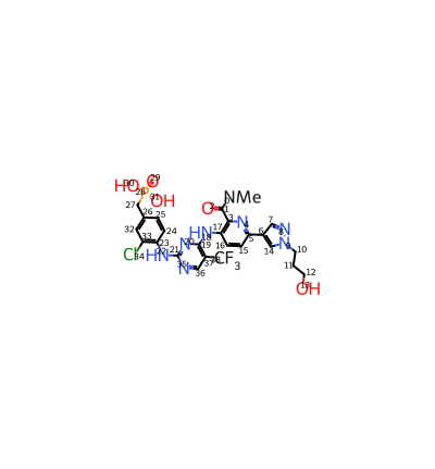 CNC(=O)c1nc(-c2cnn(CCCO)c2)ccc1Nc1nc(Nc2ccc(CP(=O)(O)O)cc2Cl)ncc1C(F)(F)F